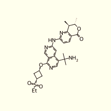 CCS(=O)(=O)[C@H]1C[C@@H](Oc2ncc(C(C)(C)N)c3cc(Nc4ccc5c(n4)[C@@H](C)[C@H](C)OC5=O)ncc23)C1